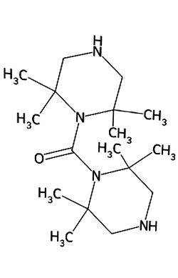 CC1(C)CNCC(C)(C)N1C(=O)N1C(C)(C)CNCC1(C)C